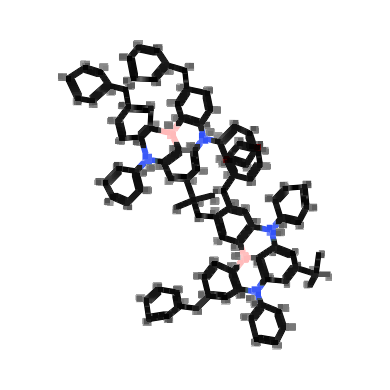 CC(C)(C)c1cc2c3c(c1)N(c1ccccc1)c1cc(Cc4ccccc4)c(CC(C)(C)c4cc5c6c(c4)N(c4ccccc4)c4ccc(Cc7ccccc7)cc4B6c4cc(Cc6ccccc6)ccc4N5c4ccccc4)cc1B3c1ccc(Cc3ccccc3)cc1N2c1ccccc1